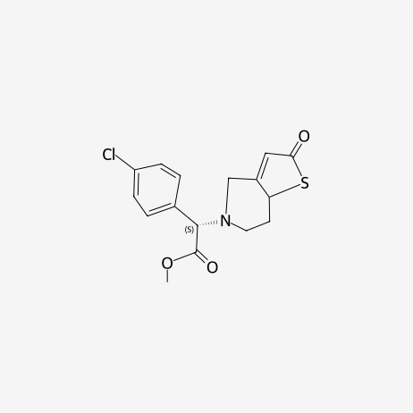 COC(=O)[C@H](c1ccc(Cl)cc1)N1CCC2SC(=O)C=C2C1